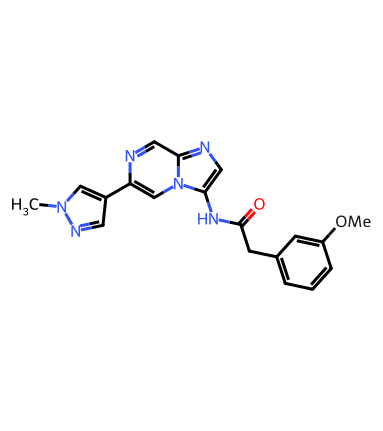 COc1cccc(CC(=O)Nc2cnc3cnc(-c4cnn(C)c4)cn23)c1